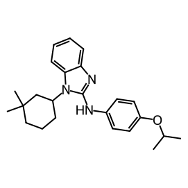 CC(C)Oc1ccc(Nc2nc3ccccc3n2C2CCCC(C)(C)C2)cc1